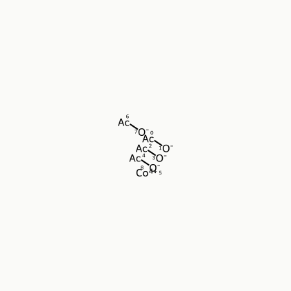 CC(=O)[O-].CC(=O)[O-].CC(=O)[O-].CC(=O)[O-].[Co+4]